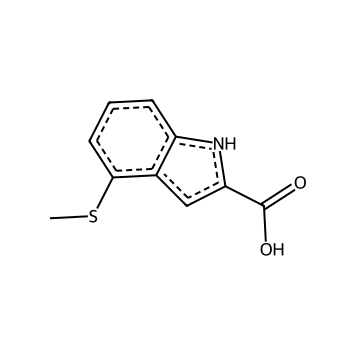 CSc1cccc2[nH]c(C(=O)O)cc12